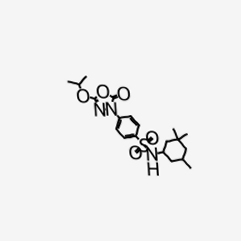 CC1CC(NS(=O)(=O)c2ccc(-n3nc(OC(C)C)oc3=O)cc2)CC(C)(C)C1